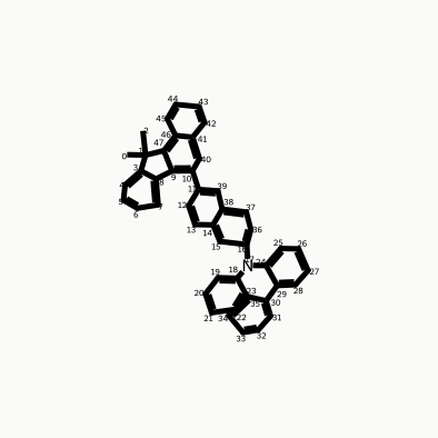 CC1(C)c2ccccc2-c2c(-c3ccc4cc(N(c5ccccc5)c5ccccc5-c5ccccc5)ccc4c3)cc3ccccc3c21